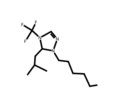 CCCCCCN1N=CN(C(F)(F)F)C1CC(C)C